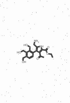 CCOC(=O)c1[nH]c(CN)c(-c2ccc(CO)c(CO)c2CO)c1C(C)=O